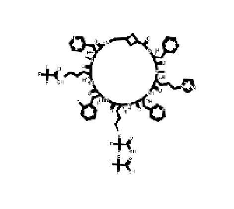 CCCC[C@@H]1NC(=O)[C@H](Cc2cccnc2)NC(=O)[C@H](CCCn2ccnc2)N(C)C(=O)[C@H](Cc2ccccc2)OC(=O)C2CC(CNC(=O)[C@H](Cc3cccnc3)N(C)C(=O)[C@H](CCCC)NC(=O)[C@H](Cc3ccccc3F)NC1=O)C2.O=C(O)C(F)(F)F.O=C(O)C(F)(F)F.O=C(O)C(F)(F)F